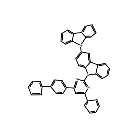 c1ccc(-c2ccc(-c3cc(-c4ccccc4)nc(-n4c5ccccc5c5cc(-n6c7ccccc7c7ccccc76)ccc54)n3)cc2)cc1